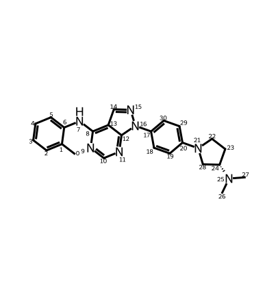 Cc1ccccc1Nc1ncnc2c1cnn2-c1ccc(N2CC[C@H](N(C)C)C2)cc1